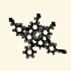 N#Cc1ccc2c3cc4c(c5c6c7ccc(C#N)cc7n7c8cc(C#N)ccc8c(cc5n4-c4ccccc4)c67)c4c5ccc(C#N)cc5n(c2c1)c34